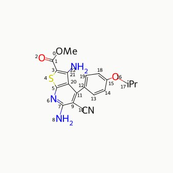 COC(=O)c1sc2nc(N)c(C#N)c(-c3ccc(OC(C)C)cc3)c2c1N